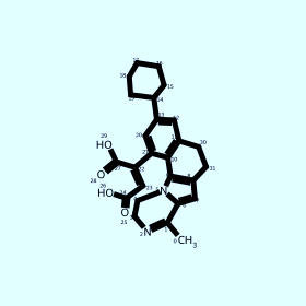 CC1=NCCn2c1cc1c2-c2c(cc(C3CCCCC3)cc2C(=CC(=O)O)C(=O)O)CC1